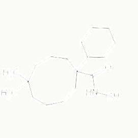 CC1(C)CCCCC(C(=O)NS)(C2CCCCC2)CCC1